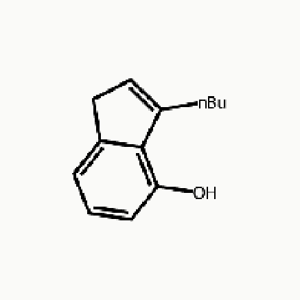 CCCCC1=CCc2cccc(O)c21